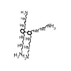 NCCCNCCCNCc1cc(CNCCCNCCCN)cc(-c2c(CNCCCNCCCN)cccc2CNCCCNCCCN)c1